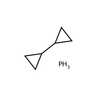 C1CC1C1CC1.P